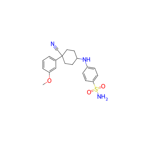 COc1cccc(C2(C#N)CCC(Nc3ccc(S(N)(=O)=O)cc3)CC2)c1